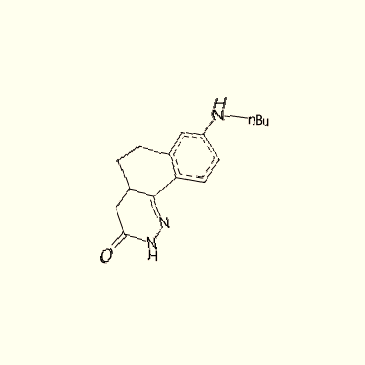 CCCCNc1ccc2c(c1)CCC1CC(=O)NN=C21